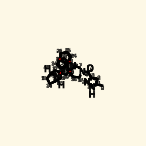 Cc1cc(C(=O)N2CCC(CCN3[C@@H]4CC[C@H]3CC(n3c(C)nc5ccccc53)C4)(c3ccccc3)CC2)n[nH]1